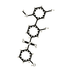 COc1ccc(F)cc1-c1ccc(S(=O)(=O)c2cccc(Cl)c2)cc1F